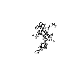 CC[C@H]1COC(=O)N1c1nc(C)nc(N[C@@H](C)c2cn(-c3ccc(Cl)nn3)cn2)n1